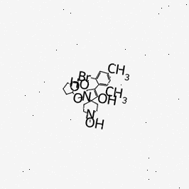 Cc1cc(C)c(C2=C(O)C3(CCN(O)CC3)N(OC3CCCO3)C2O)c(Br)c1